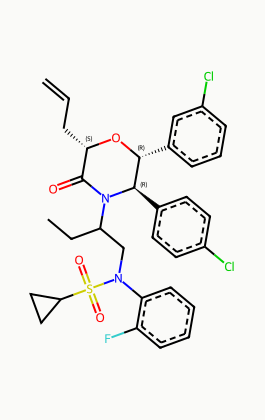 C=CC[C@@H]1O[C@H](c2cccc(Cl)c2)[C@@H](c2ccc(Cl)cc2)N(C(CC)CN(c2ccccc2F)S(=O)(=O)C2CC2)C1=O